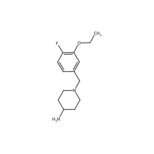 CCOc1cc(CN2CCC(N)CC2)ccc1F